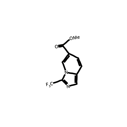 COC(=O)c1ccc2cnc(C(F)(F)F)n2c1